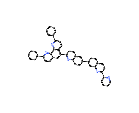 c1ccc(-c2ccc3cc(-c4ccc5cc(-c6ccc7ccc(-c8ccccn8)nc7c6)ccc5n4)c4ccc(-c5ccccc5)nc4c3n2)cc1